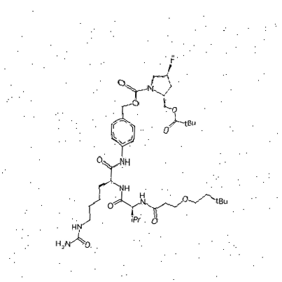 CC(C)[C@H](NC(=O)CCOCCC(C)(C)C)C(=O)N[C@@H](CCCCNC(N)=O)C(=O)Nc1ccc(COC(=O)N2C[C@@H](F)C[C@H]2COC(=O)C(C)(C)C)cc1